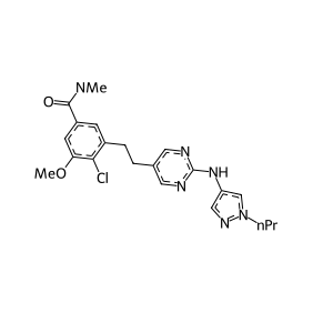 CCCn1cc(Nc2ncc(CCc3cc(C(=O)NC)cc(OC)c3Cl)cn2)cn1